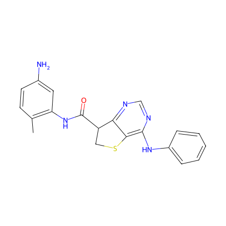 Cc1ccc(N)cc1NC(=O)C1CSc2c(Nc3ccccc3)ncnc21